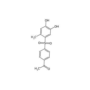 CC(=O)c1ccc(S(=O)(=O)c2cc(O)c(O)cc2C)cc1